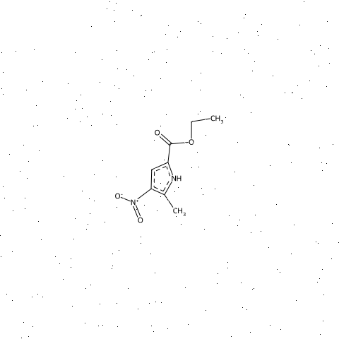 CCOC(=O)c1cc([N+](=O)[O-])c(C)[nH]1